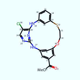 COC(=O)c1cc2cc(c1)OCCSc1cccc(c1)Nc1nc(ncc1Cl)N2